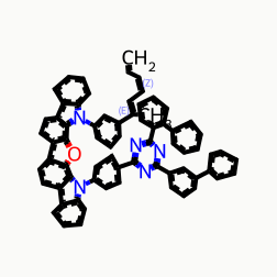 C=C/C=C\C=C(/C)c1cccc(-n2c3ccccc3c3ccc4c5ccc6c7ccccc7n(-c7ccc(-c8nc(-c9cccc(-c%10ccccc%10)c9)nc(-c9ccccc9-c9ccccc9)n8)cc7)c6c5oc4c32)c1